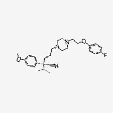 COc1ccc(C(C#N)(CCCN2CCN(CCOc3ccc(F)cc3)CC2)C(C)C)cc1